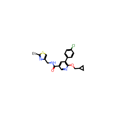 CCc1nc(CNC(=O)c2cnc(OCC3CC3)c(-c3ccc(Cl)cc3)c2)cs1